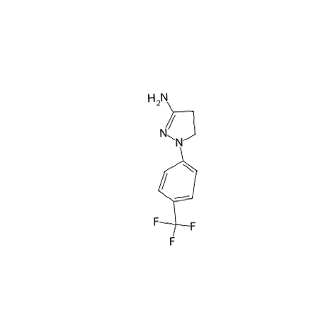 NC1=NN(c2ccc(C(F)(F)F)cc2)CC1